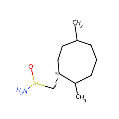 CC1CCCC(C)[C@H](C[S+](N)[O-])CC1